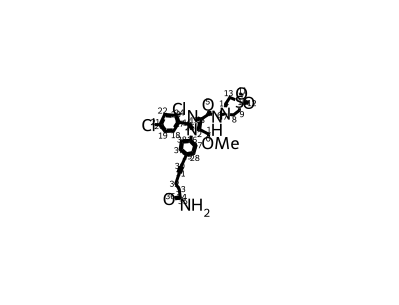 COCc1c(C(=O)NN2CCS(=O)(=O)CC2)nc(-c2ccc(Cl)cc2Cl)n1-c1ccc(C#CCCC(N)=O)cc1